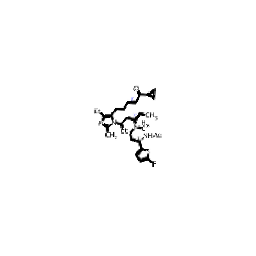 C/C=C(/CC(CC)n1c(C)nc(CC)c1CC/C=C/C(=O)C1CC1)N(C)CC[C@H](NC(C)=O)c1ccc(F)s1